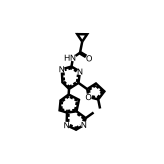 Cc1ccc(-c2nc(NC(=O)C3CC3)ncc2-c2ccc3ncnc(C)c3c2)o1